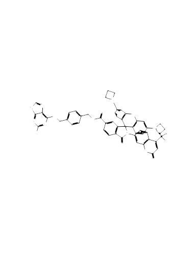 Nc1nc(OCc2ccc(CNC(=O)c3ccc4c(c3)C3(c5ccc(N6CCC6)cc5Oc5cc(N6CCC6)ccc53)N(c3ccc5c(C(F)(F)F)cc(=O)oc5c3)C4=O)cc2)c2nc[nH]c2n1